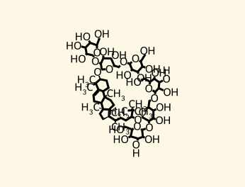 C[C@H](CCC(OC1OC(COC2OC(CO)C(O)C(O)C2O)C(O)C(O)C1OC1OC(CO)C(O)C(O)C1O)C(C)(C)C)[C@H]1CC[C@@]2(C)C3CC=C4C(CC[C@H](OC5OC(COC6OC(CO)C(O)C(O)C6O)C(O)C(O)C5OC5OC(CO)C(O)C(O)C5O)C4(C)C)[C@]3(C)CC[C@]12C